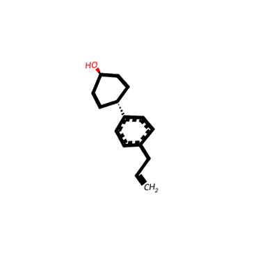 C=CCc1ccc([C@H]2CC[C@H](O)CC2)cc1